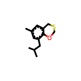 Cc1cc2c(c(CC(C)C)c1)OCSC2